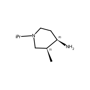 CC(C)N1CC[C@@H](N)[C@@H](C)C1